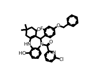 CC1(C)CC(=O)C2=C(C1)Nc1c(O)cccc1N(C(=O)c1cccc(Cl)n1)C2c1ccc(OCc2ccccc2)cc1F